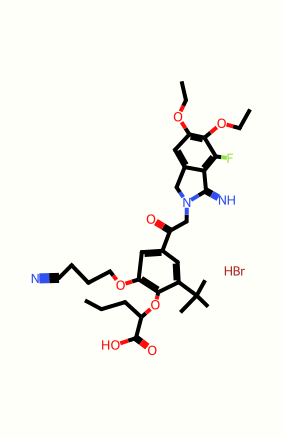 Br.CCCC(Oc1c(OCCCC#N)cc(C(=O)CN2Cc3cc(OCC)c(OCC)c(F)c3C2=N)cc1C(C)(C)C)C(=O)O